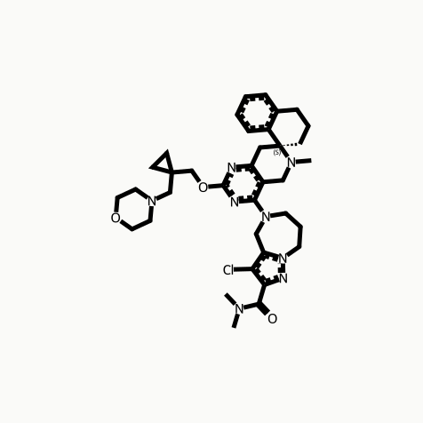 CN(C)C(=O)c1nn2c(c1Cl)CN(c1nc(OCC3(CN4CCOCC4)CC3)nc3c1CN(C)[C@@]1(CCCc4ccccc41)C3)CCC2